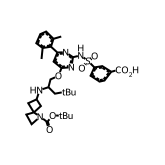 Cc1cccc(C)c1-c1cc(OCC(CC(C)(C)C)NC2CC3(CCN3C(=O)OC(C)(C)C)C2)nc(NS(=O)(=O)c2cccc(C(=O)O)c2)n1